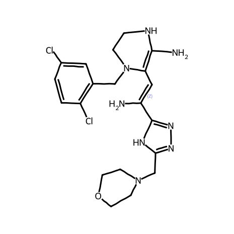 NC1=C(/C=C(\N)c2nnc(CN3CCOCC3)[nH]2)N(Cc2cc(Cl)ccc2Cl)CCN1